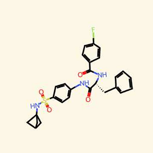 O=C(N[C@H](Cc1ccccc1)C(=O)Nc1ccc(S(=O)(=O)NC23CC(C2)C3)cc1)c1ccc(F)cc1